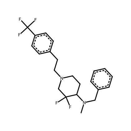 CN(Cc1ccccc1)C1CCN(CCc2ccc(C(F)(F)F)cc2)CC1(F)F